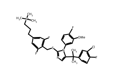 COc1cc(-n2c(C(C)(C)c3ccc(F)c(Cl)c3)cnc2SCc2c(F)cc(CCC[N+](C)(C)C)cc2F)ccc1F